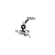 CNCCCOc1ccc(/C(N)=C(\C#N)NN)cc1